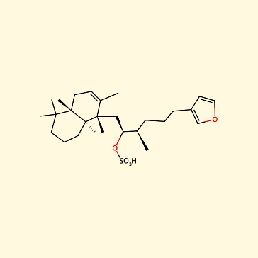 CC1=CC[C@@]2(C)C(C)(C)CCC[C@]2(C)[C@@]1(C)C[C@H](OS(=O)(=O)O)[C@H](C)CCCc1ccoc1